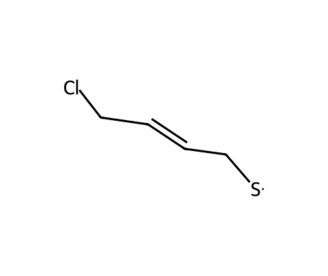 [S]CC=CCCl